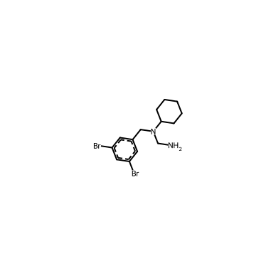 NCN(Cc1cc(Br)cc(Br)c1)C1CCCCC1